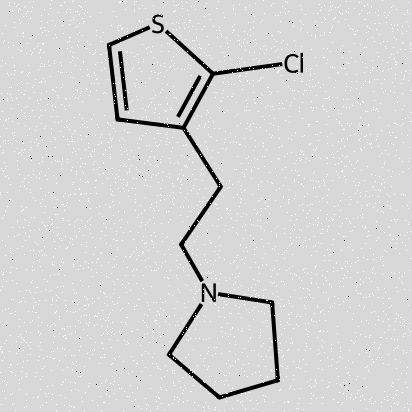 Clc1sccc1CCN1CCCC1